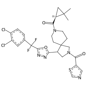 CC1(C)C[C@@H]1C(=O)N1CCC2(CC1)CN(C(=O)c1cncs1)CC2c1nnc(C(F)(F)c2ccc(Cl)c(Cl)c2)o1